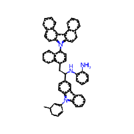 CC1C=C(n2c3ccccc3c3cc(C(Cc4ccc(-n5c6ccc7ccccc7c6c6c7ccccc7ccc65)c5ccccc45)Nc4ccccc4N)ccc32)C=CC1